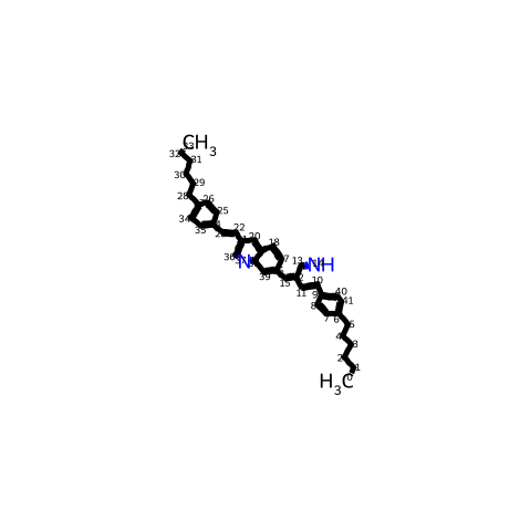 CCCCCCc1ccc(/C=C/C(C=N)=C/c2ccc3cc(/C=C/c4ccc(CCCCCC)cc4)cnc3c2)cc1